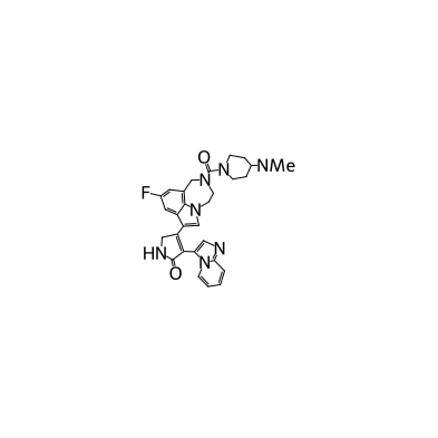 CNC1CCN(C(=O)N2CCn3cc(C4=C(c5cnc6ccccn56)C(=O)NC4)c4cc(F)cc(c43)C2)CC1